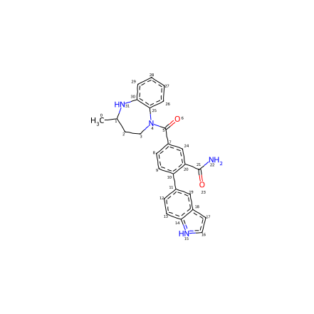 CC1CCN(C(=O)c2ccc(-c3ccc4[nH]ccc4c3)c(C(N)=O)c2)c2ccccc2N1